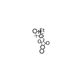 CCN1c2ccccc2C(C)(C)c2cc(C=C3C(=O)c4cc5ccccc5cc4C3=O)sc21